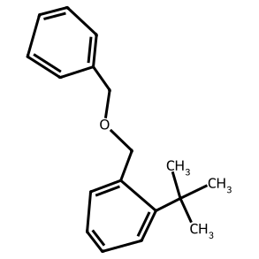 CC(C)(C)c1ccccc1COCc1ccccc1